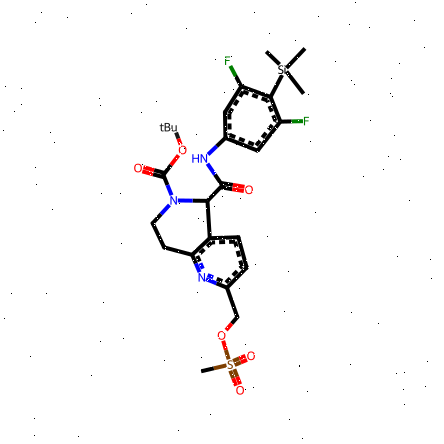 CC(C)(C)OC(=O)N1CCc2nc(COS(C)(=O)=O)ccc2C1C(=O)Nc1cc(F)c([Si](C)(C)C)c(F)c1